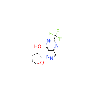 Oc1nc(C(F)(F)F)nc2cnn(C3CCCCO3)c12